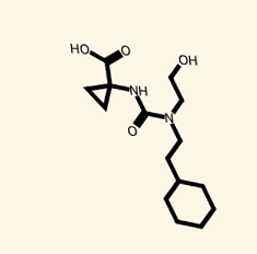 O=C(NC1(C(=O)O)CC1)N(CCO)CCC1CCCCC1